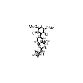 COc1cc(OC)c(Cl)c(-c2ccc3nc(NC4C5CNC4C5)ncc3c2)c1Cl.Cl